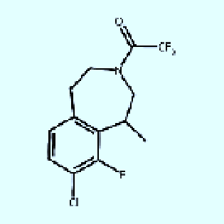 CC1CN(C(=O)C(F)(F)F)CCc2ccc(Cl)c(F)c21